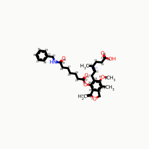 C=C1OCc2c(C)c(OC)c(C/C=C(\C)CCC(=O)O)c(OC(=O)CCCCCC(=O)NCc3ccccc3)c21